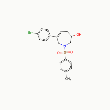 Cc1ccc(S(=O)(=O)N2CC(c3ccc(Br)cc3)=CCC(O)C2)cc1